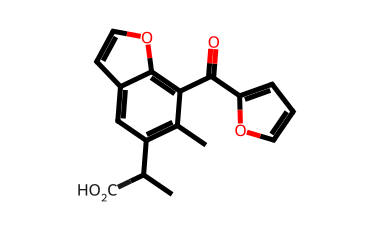 Cc1c(C(C)C(=O)O)cc2ccoc2c1C(=O)c1ccco1